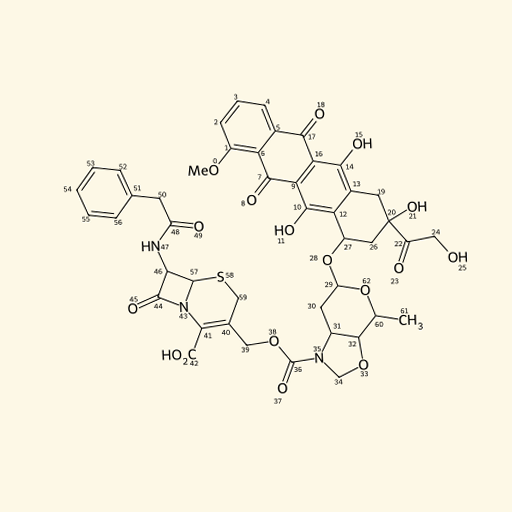 COc1cccc2c1C(=O)c1c(O)c3c(c(O)c1C2=O)CC(O)(C(=O)CO)CC3OC1CC2C(OCN2C(=O)OCC2=C(C(=O)O)N3C(=O)C(NC(=O)Cc4ccccc4)C3SC2)C(C)O1